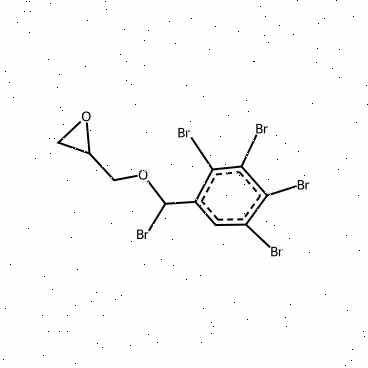 Brc1cc(C(Br)OCC2CO2)c(Br)c(Br)c1Br